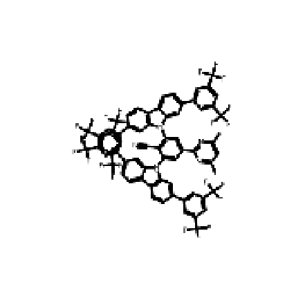 Cc1cc(C)nc(-c2cc(-n3c4cc(-c5cc(C(F)(F)F)cc(C(F)(F)F)c5)ccc4c4ccc(-c5cc(C(F)(F)F)cc(C(F)(F)F)c5)cc43)c(C#N)c(-n3c4cc(-c5cc(C(F)(F)F)cc(C(F)(F)F)c5)ccc4c4ccc(-c5cc(C(F)(F)F)cc(C(F)(F)F)c5)cc43)c2)n1